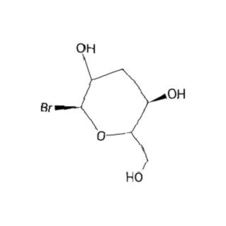 OCC1O[C@@H](Br)C(O)C[C@H]1O